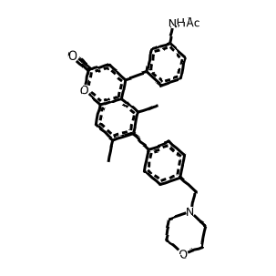 CC(=O)Nc1cccc(-c2cc(=O)oc3cc(C)c(-c4ccc(CN5CCOCC5)cc4)c(C)c23)c1